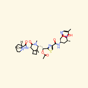 CC(=O)O[C@H](C[C@H](C(C)C)N(C)C(=O)[C@@H](NC(=O)[C@H]1CC2CCN1CC2)C1CCC1)c1nc(C(=O)N[C@@H](Cc2ncc(C)cn2)C[C@H](C)C(=O)O)cs1